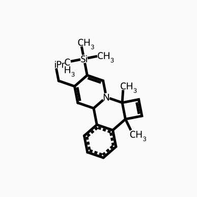 CC(C)CC1=CC2c3ccccc3C3(C)C=CC3(C)N2C=C1[Si](C)(C)C